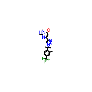 CN/C(C)=N\C(=C/C=O)c1cn(C(C)(C)c2ccc(C(F)(F)F)cc2C)nn1